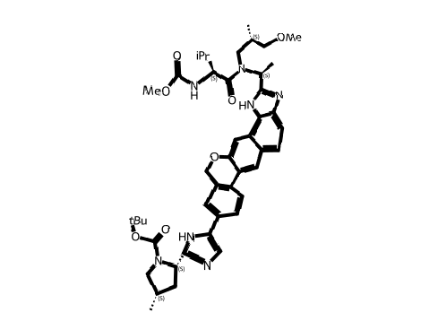 COC[C@@H](C)CN(C(=O)[C@@H](NC(=O)OC)C(C)C)[C@@H](C)c1nc2ccc3cc4c(cc3c2[nH]1)OCc1cc(-c2cnc([C@@H]3C[C@H](C)CN3C(=O)OC(C)(C)C)[nH]2)ccc1-4